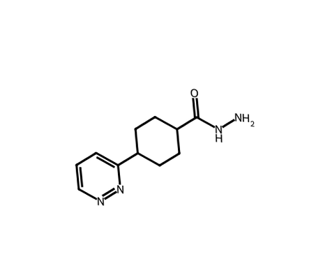 NNC(=O)C1CCC(c2cccnn2)CC1